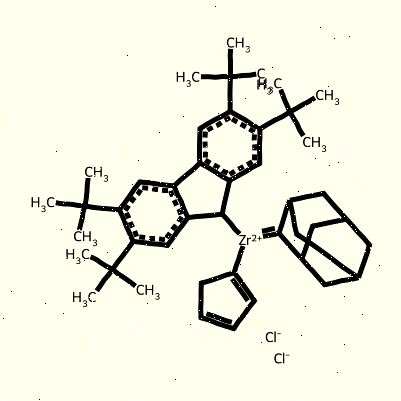 CC(C)(C)c1cc2c(cc1C(C)(C)C)[CH]([Zr+2]([C]1=CC=CC1)=[C]1C3CC4CC(C3)CC1C4)c1cc(C(C)(C)C)c(C(C)(C)C)cc1-2.[Cl-].[Cl-]